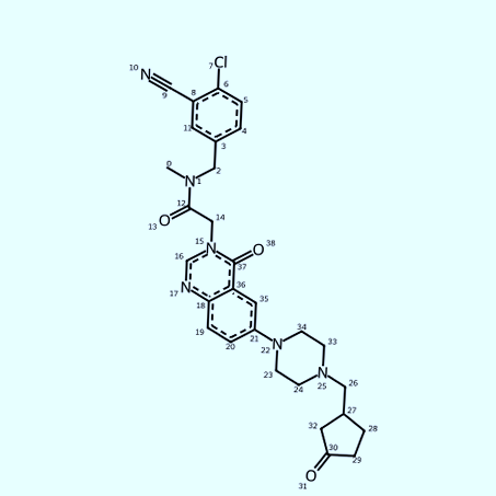 CN(Cc1ccc(Cl)c(C#N)c1)C(=O)Cn1cnc2ccc(N3CCN(CC4CCC(=O)C4)CC3)cc2c1=O